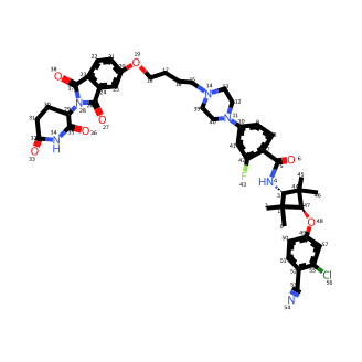 CC1(C)[C@H](NC(=O)c2ccc(N3CCN(CCCCOc4ccc5c(c4)C(=O)N(C4CCC(=O)NC4=O)C5=O)CC3)cc2F)C(C)(C)[C@H]1Oc1ccc(C#N)c(Cl)c1